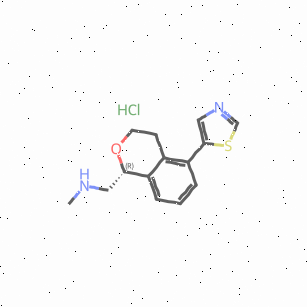 CNC[C@@H]1OCCc2c(-c3cncs3)cccc21.Cl